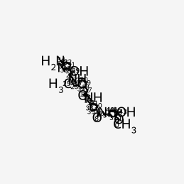 COc1cc(CNC(=O)c2ccc(CNC(=O)Cc3cccc(C[C@@H](C)NC[C@H](O)c4ccc(N)nc4)c3)cc2)ccc1O